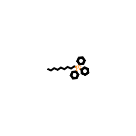 CCCCCCCCC[P+](c1ccccc1)(c1ccccc1)c1ccccc1